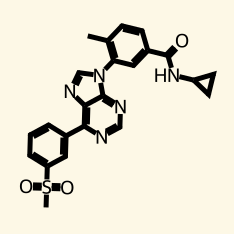 Cc1ccc(C(=O)NC2CC2)cc1-n1cnc2c(-c3cccc(S(C)(=O)=O)c3)ncnc21